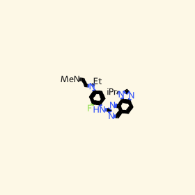 CCN(CCNC)c1ccc(Nc2ncc3ccc4ncn(C(C)C)c4c3n2)c(F)c1